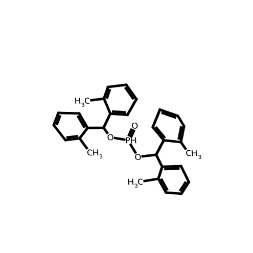 Cc1ccccc1C(O[PH](=O)OC(c1ccccc1C)c1ccccc1C)c1ccccc1C